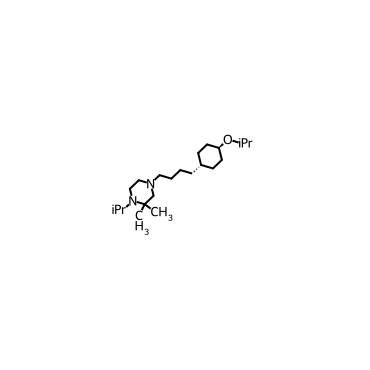 CC(C)O[C@H]1CC[C@H](CCCCN2CCN(C(C)C)C(C)(C)C2)CC1